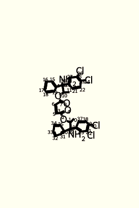 CC(OC(=O)/C=C\C(=O)OC(C)C(N)(c1ccccc1)c1ccc(Cl)c(Cl)c1)C(N)(c1ccccc1)c1ccc(Cl)c(Cl)c1